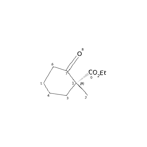 CCOC(=O)[C@]1(C)CCCCC1=O